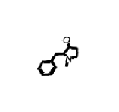 CN1CCC([O])C1Cc1ccccc1